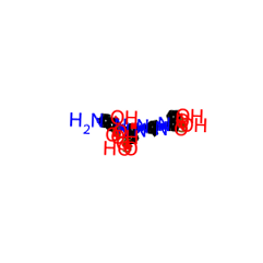 Cc1cc(N=Nc2ccc(N=Nc3c(S(=O)(=O)O)cc4cc(N)ccc4c3O)c3cc(S(=O)(=O)O)ccc23)ccc1N=Nc1ccc(S(=O)(=O)O)c2c(O)cccc12